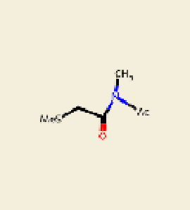 CSCC(=O)N(C)C(C)=O